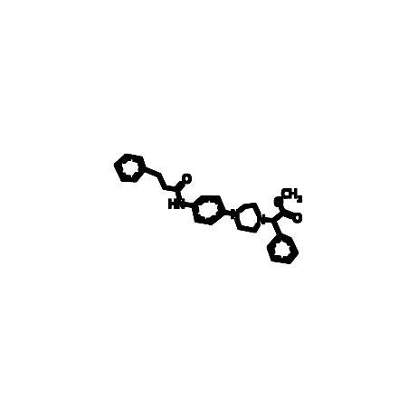 COC(=O)C(c1ccccc1)N1CCN(c2ccc(NC(=O)CCc3ccccc3)cc2)CC1